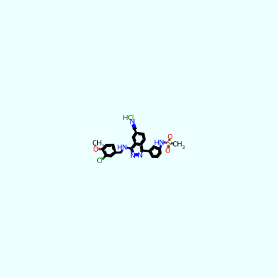 COc1ccc(CNc2nnc(-c3cccc(NS(C)(=O)=O)c3)c3ccc(C#N)cc23)cc1Cl.Cl